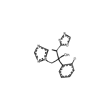 CC(c1nnco1)C(O)(Cn1cncn1)c1ccccc1Cl